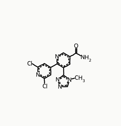 Cn1cnnc1-c1cc(C(N)=O)cnc1-c1cc(Cl)nc(Cl)c1